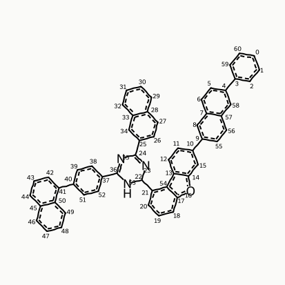 c1ccc(-c2ccc3cc(-c4ccc5c(c4)oc4cccc(C6N=C(c7ccc8ccccc8c7)N=C(c7ccc(-c8cccc9ccccc89)cc7)N6)c45)ccc3c2)cc1